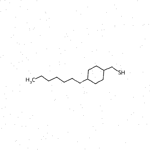 CCCCCCCC1CCC(CS)CC1